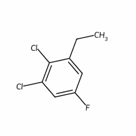 CCc1cc(F)cc(Cl)c1Cl